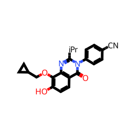 CC(C)c1nc2c(OCC3CC3)c(O)ccc2c(=O)n1-c1ccc(C#N)cc1